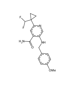 COc1ccc(CNc2cnc(C3(C(F)F)CC3)cc2C(N)=O)cc1